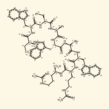 CC[C@H](C)[C@H](NC(=O)[C@H](Cc1c[nH]c2ccccc12)NC(=O)[C@@H](NC(=O)[C@H](CC(C)C)NC(=O)[C@H](Cc1c[nH]c2ccccc12)NC(=O)[C@@H](N)CC(=O)O)C(C)C)C(=O)N[C@@H](Cc1c[nH]c2ccccc12)C(=O)N[C@@H](CCCNC(=N)N)C(=O)N[C@@H](CCCNC(=N)N)C(=O)O